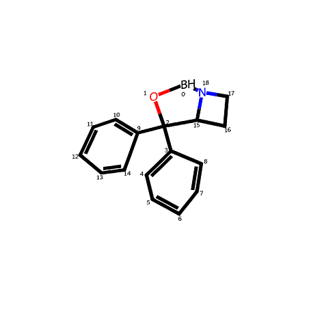 B1OC(c2ccccc2)(c2ccccc2)C2CCN12